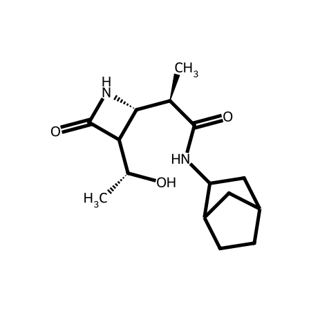 C[C@@H](O)C1C(=O)N[C@@H]1[C@@H](C)C(=O)NC1CC2CCC1C2